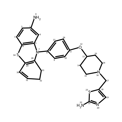 Nc1ccc2c(c1)N(c1ccc(OC3CCN(Cc4cnc(N)s4)CC3)cc1)C1=C(C=CCC1)S2